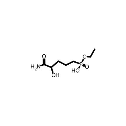 CCOP(=O)(O)CCCC(O)C(N)=O